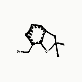 CC1(C)Cc2cccc(CBr)c2O1